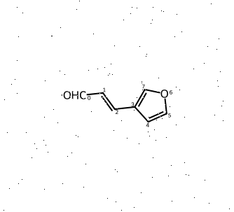 O=[C]C=Cc1ccoc1